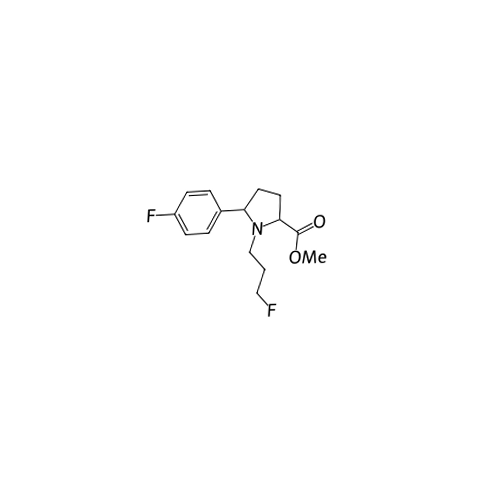 COC(=O)C1CCC(c2ccc(F)cc2)N1CCCF